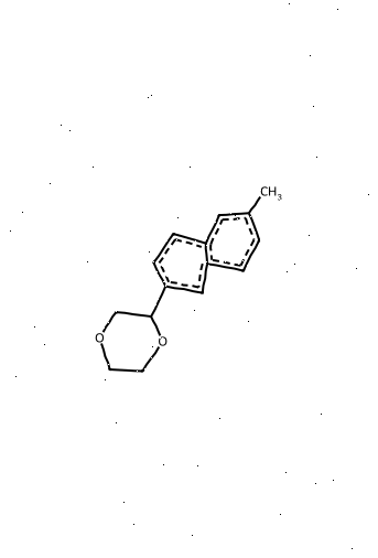 Cc1ccc2cc(C3COCCO3)ccc2c1